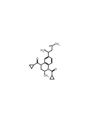 CNCC(N)c1ccc2c(c1)N(C(=O)C1CC1)C[C@H](C)N2C(=O)C1CC1